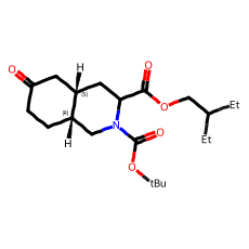 CCC(CC)COC(=O)C1C[C@H]2CC(=O)CC[C@H]2CN1C(=O)OC(C)(C)C